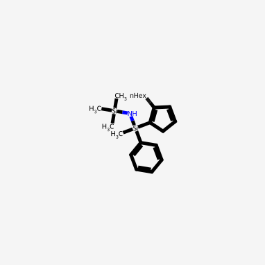 CCCCCCC1=C([Si](C)(N[Si](C)(C)C)c2ccccc2)CC=C1